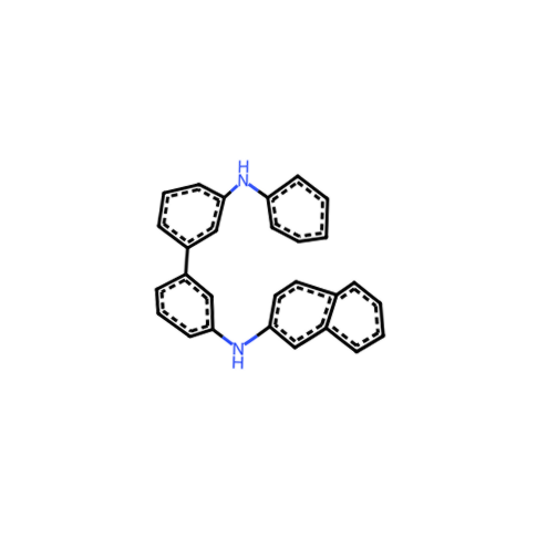 c1ccc(Nc2cccc(-c3cccc(Nc4ccc5ccccc5c4)c3)c2)cc1